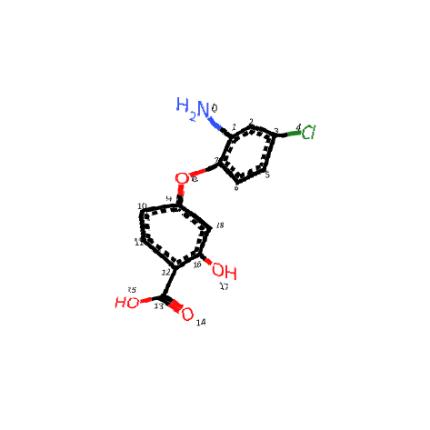 Nc1cc(Cl)ccc1Oc1ccc(C(=O)O)c(O)c1